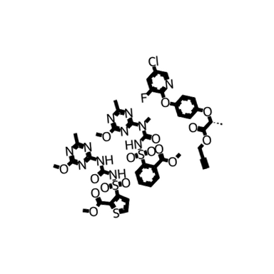 C#CCOC(=O)[C@@H](C)Oc1ccc(Oc2ncc(Cl)cc2F)cc1.COC(=O)c1ccccc1S(=O)(=O)NC(=O)N(C)c1nc(C)nc(OC)n1.COC(=O)c1sccc1S(=O)(=O)NC(=O)Nc1nc(C)nc(OC)n1